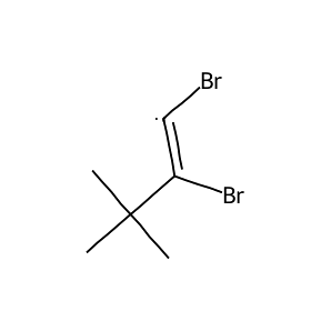 CC(C)(C)/C(Br)=[C]/Br